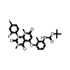 Cc1c(NC(=O)OC(C)(C)C)cccc1Oc1cc(=O)n(C)c2c1c(=O)n(C)c(=O)n2-c1ccc(I)cc1F